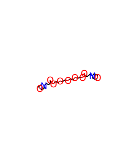 O=C(CCN1CCOCC1)OCCOCCOCCOCCOC(=O)CCN1CCOCC1